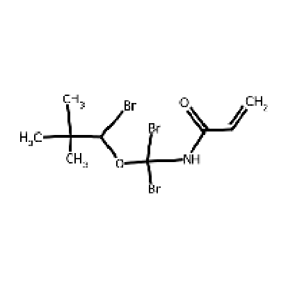 C=CC(=O)NC(Br)(Br)OC(Br)C(C)(C)C